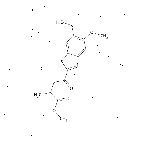 COC(=O)C(C)CC(=O)c1cc2cc(OC)c(SC)cc2s1